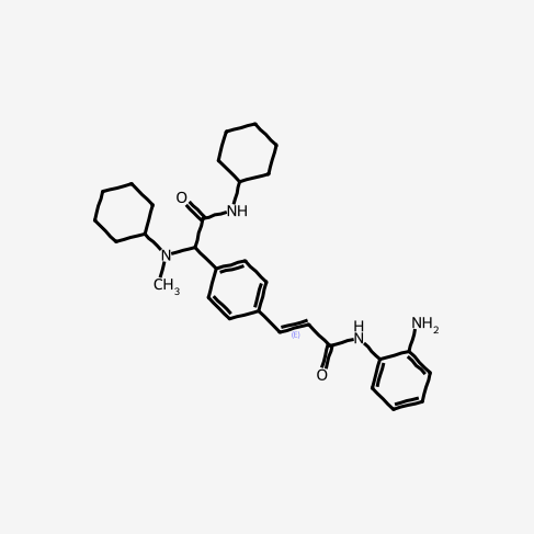 CN(C1CCCCC1)C(C(=O)NC1CCCCC1)c1ccc(/C=C/C(=O)Nc2ccccc2N)cc1